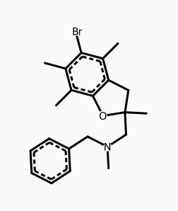 Cc1c(C)c2c(c(C)c1Br)CC(C)(CN(C)Cc1ccccc1)O2